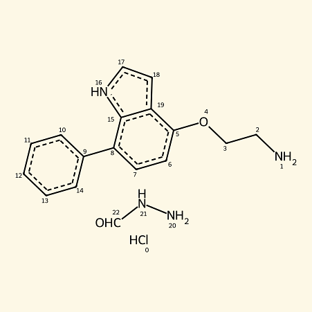 Cl.NCCOc1ccc(-c2ccccc2)c2[nH]ccc12.NNC=O